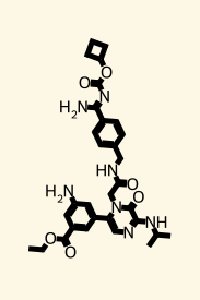 CCOC(=O)c1cc(N)cc(-c2cnc(NC(C)C)c(=O)n2CC(=O)NCc2ccc(/C(N)=N/C(=O)OC3CCC3)cc2)c1